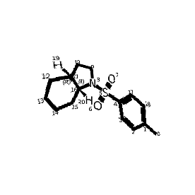 Cc1ccc(S(=O)(=O)N2CC[C@H]3CCCC[C@H]32)cc1